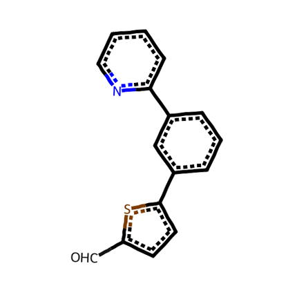 O=Cc1ccc(-c2cccc(-c3ccccn3)c2)s1